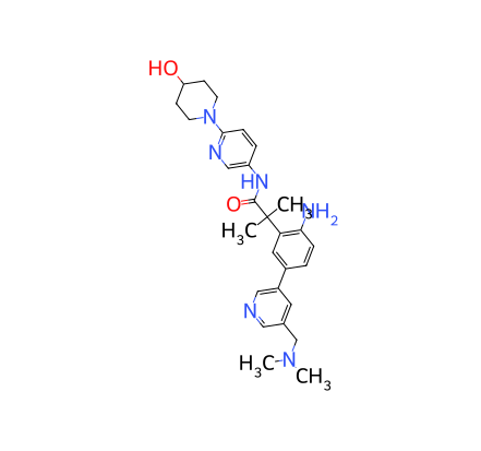 CN(C)Cc1cncc(-c2ccc(N)c(C(C)(C)C(=O)Nc3ccc(N4CCC(O)CC4)nc3)c2)c1